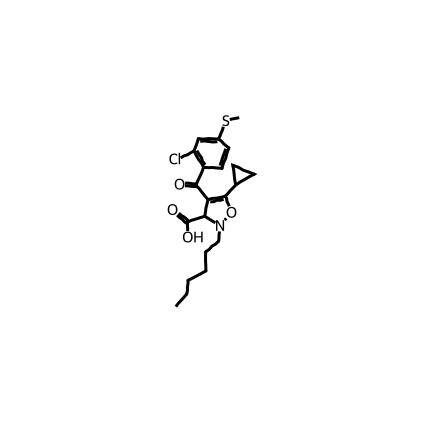 CCCCCCN1OC(C2CC2)=C(C(=O)c2ccc(SC)cc2Cl)C1C(=O)O